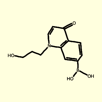 O=c1ccn(CCCO)c2cc(B(O)O)ccc12